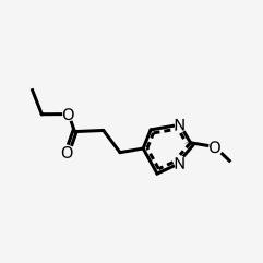 CCOC(=O)CCc1cnc(OC)nc1